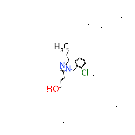 CCCCc1ncc(/C=C/CO)n1Cc1ccccc1Cl